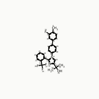 Cc1ccc(-c2ccc(-n3cc(C(C)(C)O)nc3-c3ccccc3C(F)(F)F)cc2)cc1F